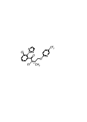 CCN(C(=O)c1cccc(Cl)c1-n1nccn1)[C@@H](C)COc1ccc(C(F)(F)F)cn1